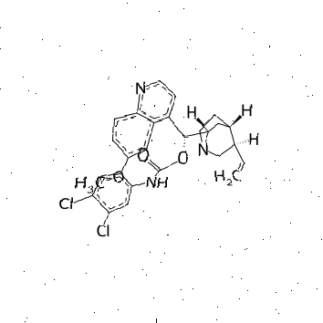 C=C[C@H]1CN2CC[C@H]1C[C@H]2[C@H](OC(=O)Nc1ccc(Cl)c(Cl)c1)c1ccnc2ccc(OC)cc12